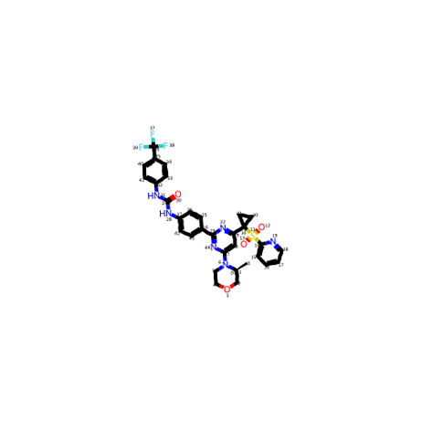 C[C@H]1COCCN1c1cc(C2(S(=O)(=O)c3ccccn3)CC2)nc(-c2ccc(NC(=O)Nc3ccc(C(F)(F)F)cc3)cc2)n1